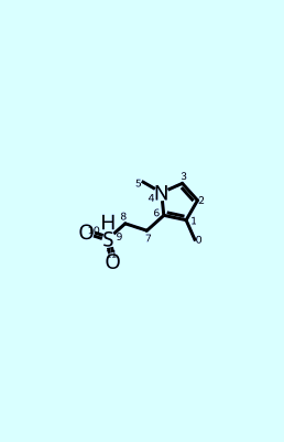 Cc1ccn(C)c1CC[SH](=O)=O